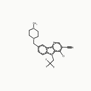 CN1CCN(Cc2ccc3c(c2)c2ncc(C#N)c(Cl)c2n3CC(F)(F)F)CC1